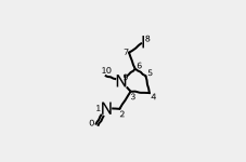 C=NCC1CCC(CI)N1C